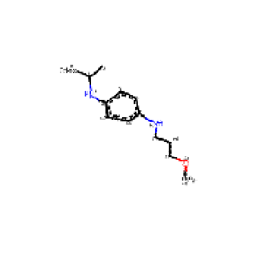 CCCCCCC(C)Nc1ccc(NCCCOCCC)cc1